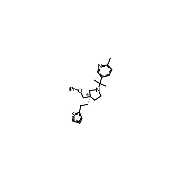 Cc1ccc(C(C)(C)N2CC[C@@](CCc3cccs3)(COC(C)C)C2)cn1